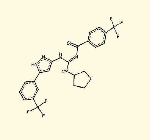 O=C(/N=C(\Nc1cc(-c2cccc(C(F)(F)F)c2)[nH]n1)NC1CCCC1)c1ccc(C(F)(F)F)cc1